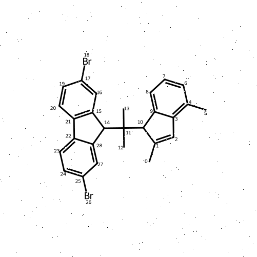 CC1=Cc2c(C)cccc2C1C(C)(C)C1c2cc(Br)ccc2-c2ccc(Br)cc21